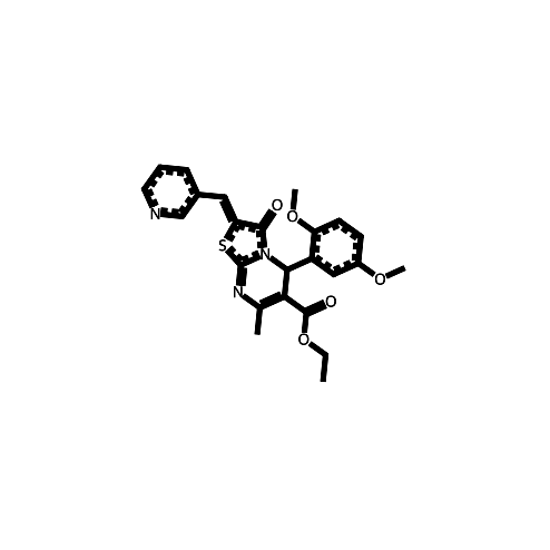 CCOC(=O)C1=C(C)N=c2s/c(=C\c3cccnc3)c(=O)n2C1c1cc(OC)ccc1OC